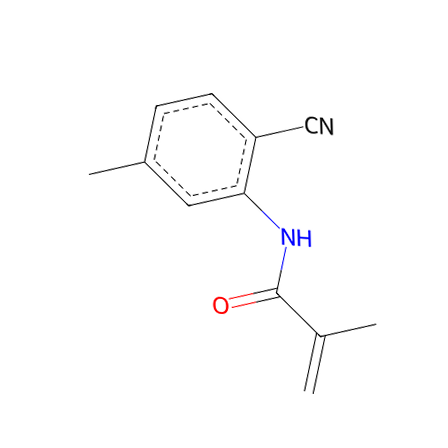 C=C(C)C(=O)Nc1cc(C)ccc1C#N